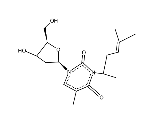 CC(C)=CCC(C)n1c(=O)c(C)cn([C@H]2CC(O)[C@@H](CO)O2)c1=O